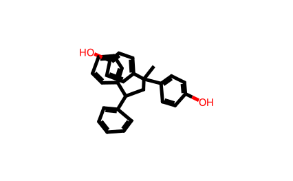 CC(CC(c1ccccc1)c1ccccc1)(c1ccc(O)cc1)c1ccc(O)cc1